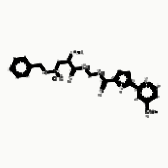 CCCCCC(CN(C=O)OCc1ccccc1)C(=O)NCNC(=O)c1ccc(-c2cc(OC)ccn2)o1